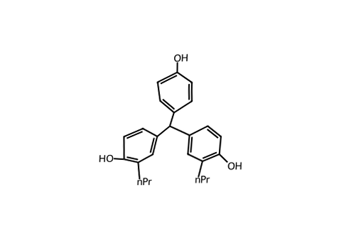 CCCc1cc(C(c2ccc(O)cc2)c2ccc(O)c(CCC)c2)ccc1O